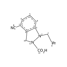 CC(C)CN1c2cccc(C#N)c2CN1C(=O)O